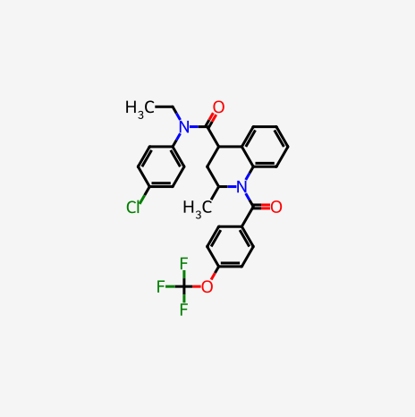 CCN(C(=O)C1CC(C)N(C(=O)c2ccc(OC(F)(F)F)cc2)c2ccccc21)c1ccc(Cl)cc1